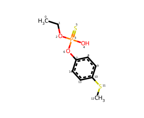 CCOP(O)(=S)Oc1ccc(SC)cc1